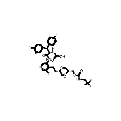 O=C(O)N[C@H](C(=O)Nc1cncc(F)c1CC[C@@H]1CN[C@H](COC(=O)NCC(F)(F)F)CO1)C(c1ccc(F)cc1)c1ccc(F)cc1